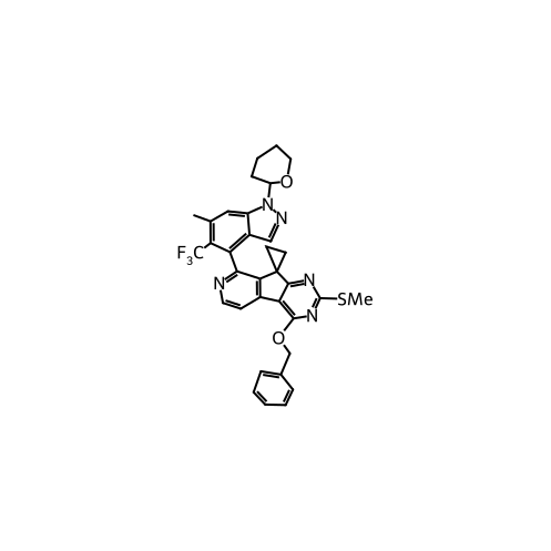 CSc1nc(OCc2ccccc2)c2c(n1)C1(CC1)c1c-2ccnc1-c1c(C(F)(F)F)c(C)cc2c1cnn2C1CCCCO1